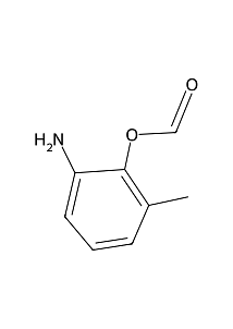 Cc1cccc(N)c1OC=O